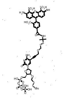 CC(C)(C)SSCO[C@@H]1C[C@H](n2cc(C#CCOCSSC(C)(C)NC3OC3c3ccc(-c4c5ccc(=N)c(S(=O)(=O)O)c-5oc5c(S(=O)(=O)O)c(N)ccc45)c(C(=O)O)c3)c(N)nc2=O)O[C@@H]1COP(=O)(O)OP(=O)(O)OP(=O)(O)O